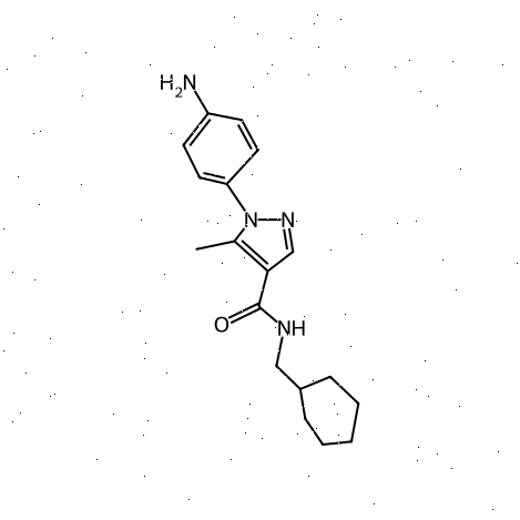 Cc1c(C(=O)NCC2CCCCC2)cnn1-c1ccc(N)cc1